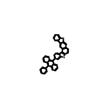 c1ccc(-c2c3ccccc3c(-c3ccc4c(c3)sc3ccc5cc6sc7ccccc7c6cc5c34)c3ccccc23)cc1